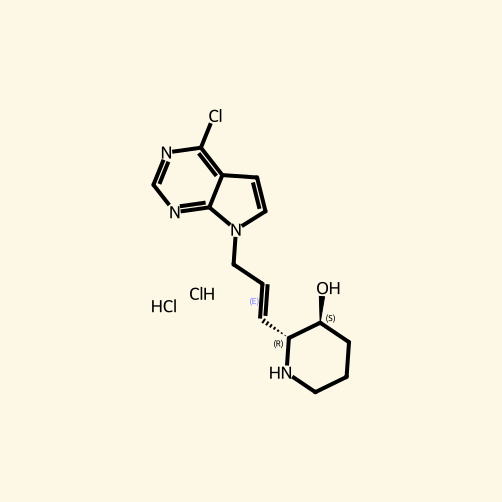 Cl.Cl.O[C@H]1CCCN[C@@H]1/C=C/Cn1ccc2c(Cl)ncnc21